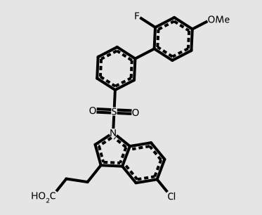 COc1ccc(-c2cccc(S(=O)(=O)n3cc(CCC(=O)O)c4cc(Cl)ccc43)c2)c(F)c1